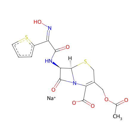 CC(=O)OCC1=C(C(=O)[O-])N2C(=O)[C@@H](NC(=O)/C(=N/O)c3cccs3)[C@H]2SC1.[Na+]